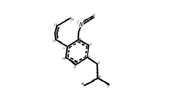 C=Nc1cc(CC(C)C)ccc1/C=C\C